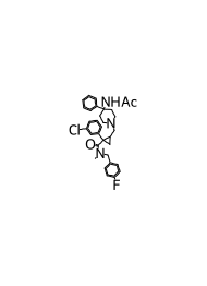 CC(=O)NC1(c2ccccc2)CCN(CC2CC2(C(=O)N(C)Cc2ccc(F)cc2)c2cccc(Cl)c2)CC1